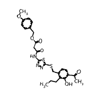 CCCc1c(CSc2nnc(NC(=O)CC(=O)OCc3ccc(OC)cc3)s2)ccc(C(C)=O)c1O